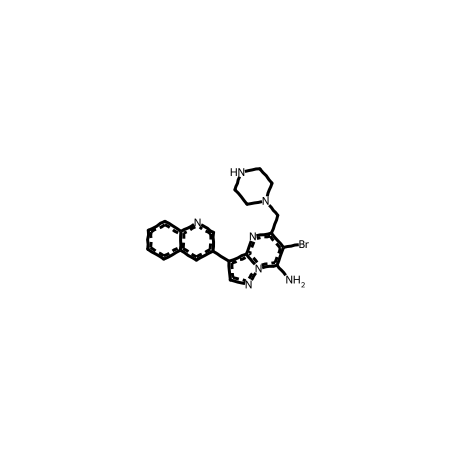 Nc1c(Br)c(CN2CCNCC2)nc2c(-c3cnc4ccccc4c3)cnn12